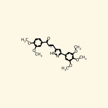 COc1ccc(C(=O)/C=C/c2cc(-c3cc(OC)c(OC)c(OC)c3)n[nH]2)cc1OC